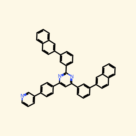 c1cncc(-c2ccc(-c3cc(-c4cccc(-c5ccc6ccccc6c5)c4)nc(-c4cccc(-c5ccc6ccccc6c5)c4)n3)cc2)c1